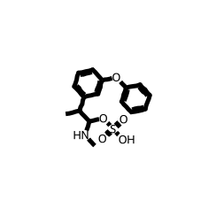 CNC(OS(=O)(=O)O)C(C)c1cccc(Oc2ccccc2)c1